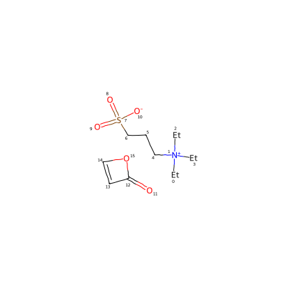 CC[N+](CC)(CC)CCCS(=O)(=O)[O-].O=C1C=CO1